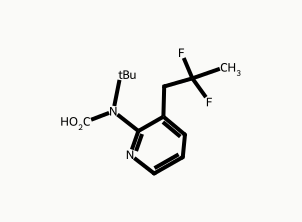 CC(F)(F)Cc1cccnc1N(C(=O)O)C(C)(C)C